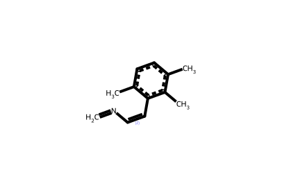 C=N/C=C\c1c(C)ccc(C)c1C